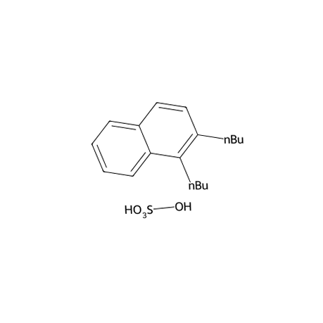 CCCCc1ccc2ccccc2c1CCCC.O=S(=O)(O)O